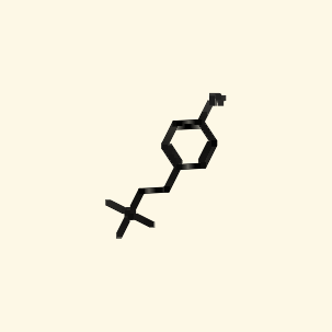 CC(C)c1ccc(CC[Si](C)(C)C)cc1